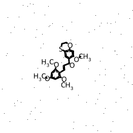 COc1cc(OC)c(/C=C/C(=O)c2cc3c(cc2OC)OCCS3)c(OC)c1